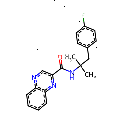 CC(C)(Cc1ccc(F)cc1)NC(=O)c1cnc2ccccc2n1